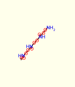 CC(C)(C)OC(=O)NCCOCCOCCC(=O)NCCCOCCOCCCNC(=O)CCOCCOCCN